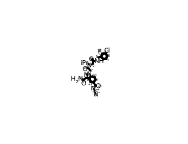 CC(C)N(CC(=O)NCc1cccc(Cl)c1F)C(=O)Cn1nc(C(N)=O)c2cc(C(=O)N=[N+]=[N-])ccc21